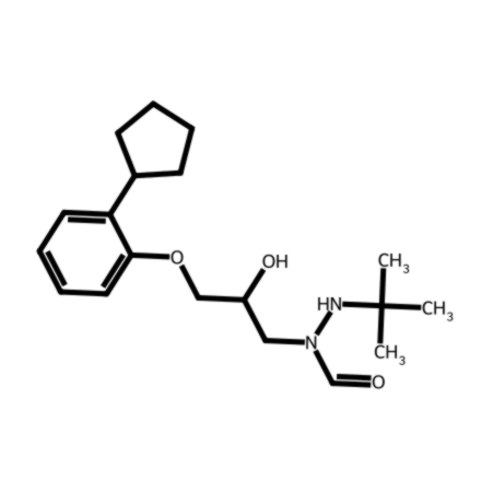 CC(C)(C)NN(C=O)CC(O)COc1ccccc1C1CCCC1